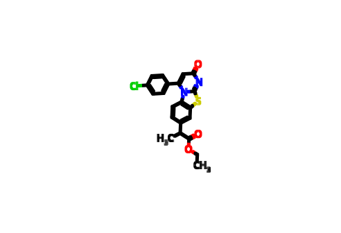 CCOC(=O)C(C)c1ccc2c(c1)sc1nc(=O)cc(-c3ccc(Cl)cc3)n12